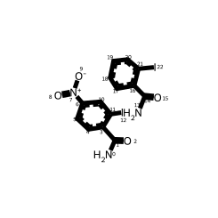 NC(=O)c1ccc([N+](=O)[O-])cc1I.NC(=O)c1ccccc1I